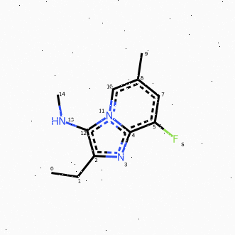 CCc1nc2c(F)cc(C)cn2c1NC